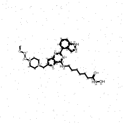 CSOON1CCN(Cc2cc3nc(-c4cccc5[nH]ncc45)nc(NCCCCCCC(=O)NO)c3s2)CC1